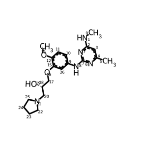 CNc1cc(C)nc(Nc2ccc(OC)c(OC[C@@H](O)CN3CCCC3)c2)n1